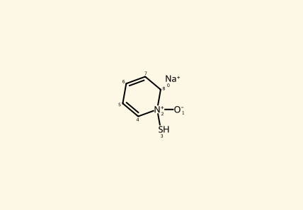 [Na+].[O-][N+]1(S)C=CC=CC1